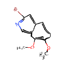 COc1ccc2cc(Br)ncc2c1OC